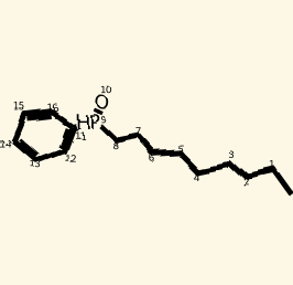 CCCCCCCCC[PH](=O)c1ccccc1